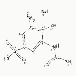 CC(=O)Nc1cc(S(=O)(=O)O)cc(N)c1O.[NaH]